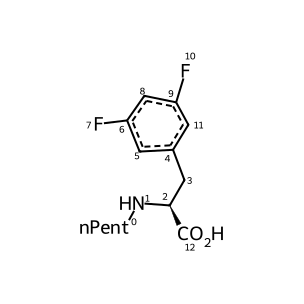 CCCCCN[C@@H](Cc1cc(F)cc(F)c1)C(=O)O